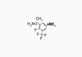 C[C@@H](N)c1cc(N)cc(C(F)(F)F)c1F.Cl